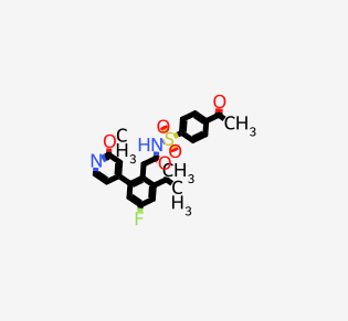 COc1cc(-c2cc(F)cc(C(C)C)c2CC(=O)NS(=O)(=O)c2ccc(C(C)=O)cc2)ccn1